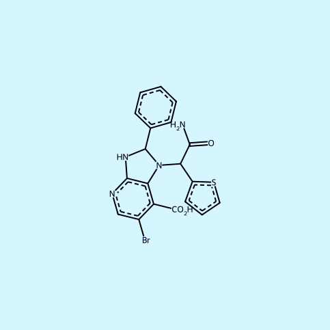 NC(=O)C(c1cccs1)N1c2c(ncc(Br)c2C(=O)O)NC1c1ccccc1